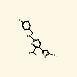 Cc1cc(-c2cnc(NCc3ccc(F)cc3)nc2C(F)F)on1